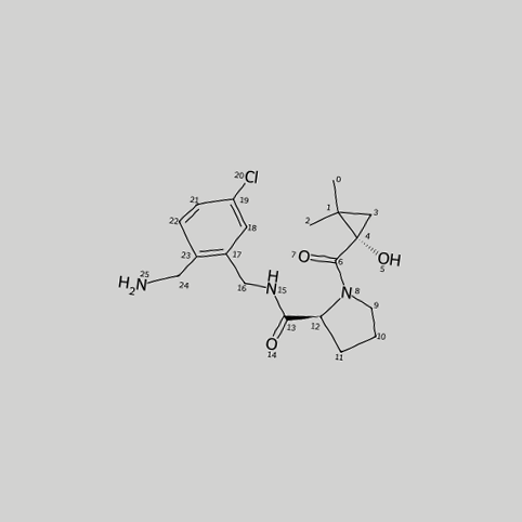 CC1(C)C[C@@]1(O)C(=O)N1CCC[C@H]1C(=O)NCc1cc(Cl)ccc1CN